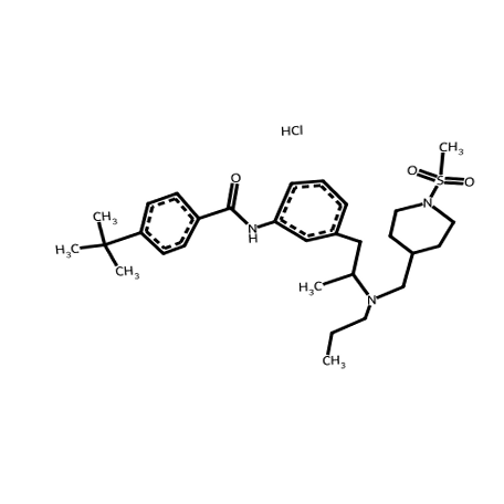 CCCN(CC1CCN(S(C)(=O)=O)CC1)C(C)Cc1cccc(NC(=O)c2ccc(C(C)(C)C)cc2)c1.Cl